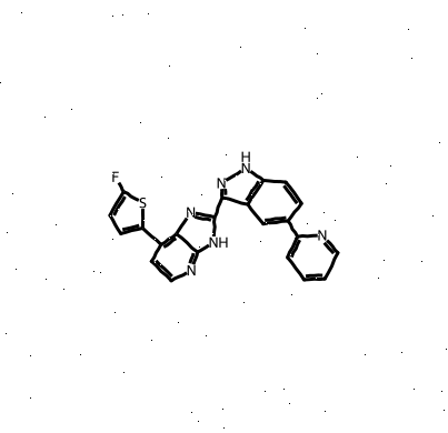 Fc1ccc(-c2ccnc3[nH]c(-c4n[nH]c5ccc(-c6ccccn6)cc45)nc23)s1